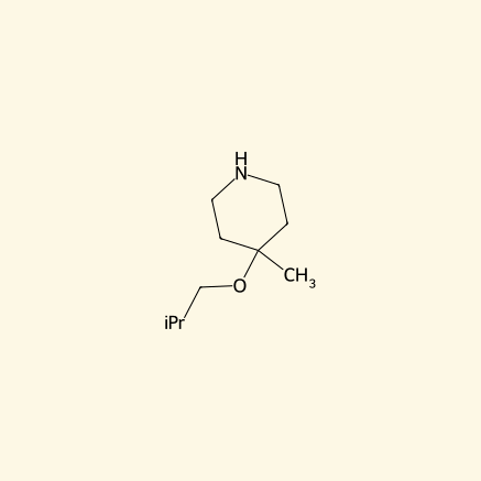 CC(C)COC1(C)CCNCC1